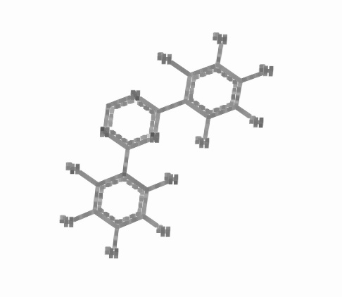 [2H]c1c([2H])c([2H])c(-c2ncnc(-c3c([2H])c([2H])c([2H])c([2H])c3[2H])n2)c([2H])c1[2H]